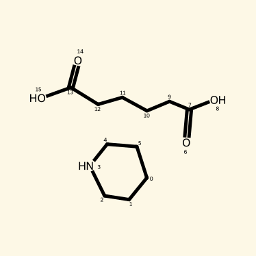 C1CCNCC1.O=C(O)CCCCC(=O)O